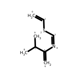 C=CS/C=N\C(=C)C(C)C